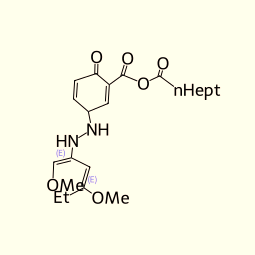 CCCCCCCC(=O)OC(=O)C1=CC(NNC(=C/OC)/C=C(\CC)OC)C=CC1=O